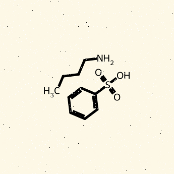 CCCCN.O=S(=O)(O)c1ccccc1